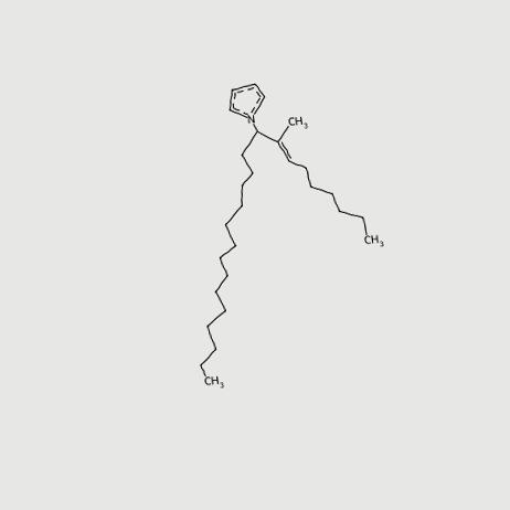 CCCCCC/C=C(\C)C(CCCCCCCCCCCCCC)n1cccc1